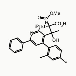 CCC(C(=O)O)([PH](=O)OC)C(C)(O)c1c(-c2ccc(F)cc2C)cc(-c2ccccc2)nc1C(C)C